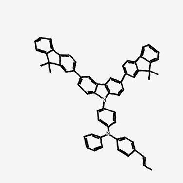 C/C=C/c1ccc(N(c2ccccc2)c2ccc(-n3c4ccc(-c5ccc6c(c5)C(C)(C)c5ccccc5-6)cc4c4cc(-c5ccc6c(c5)C(C)(C)c5ccccc5-6)ccc43)cc2)cc1